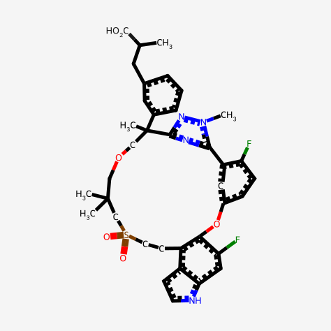 CC(Cc1cccc(C2(C)COCC(C)(C)CS(=O)(=O)CCc3c(c(F)cc4[nH]ccc34)Oc3ccc(F)c(c3)-c3nc2nn3C)c1)C(=O)O